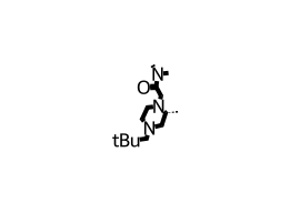 C[C@@H]1CN(CC(C)(C)C)CCN1CC(=O)N(C)C